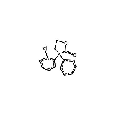 O=C1OCCC1(c1ccccc1)c1ccccc1Cl